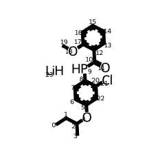 CCC(C)Oc1ccc(PC(=O)c2ccccc2OC)c(Cl)c1.[LiH]